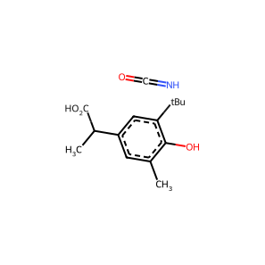 Cc1cc(C(C)C(=O)O)cc(C(C)(C)C)c1O.N=C=O